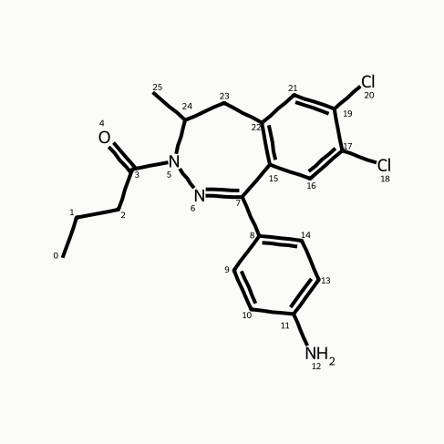 CCCC(=O)N1N=C(c2ccc(N)cc2)c2cc(Cl)c(Cl)cc2CC1C